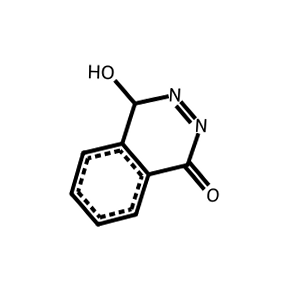 O=C1N=NC(O)c2ccccc21